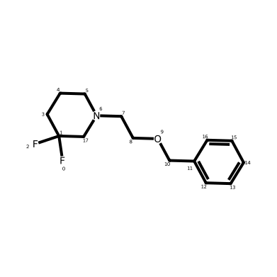 FC1(F)CCCN(CCOCc2ccccc2)C1